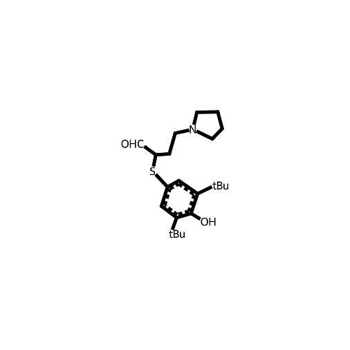 CC(C)(C)c1cc(SC(C=O)CCN2CCCC2)cc(C(C)(C)C)c1O